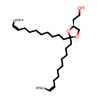 CCCCCC/C=C\CCCCCCCCC1(CCCCCCCC/C=C\CCCCCC)OC[C@H](CCO)O1